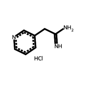 Cl.N=C(N)Cc1cccnc1